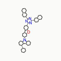 c1ccc(-c2cccc3c2c2ccccc2n3-c2ccc3c(c2)oc2cc(-c4nc(-c5ccc6ccccc6c5)nc(-c5ccc6ccccc6c5)n4)ccc23)cc1